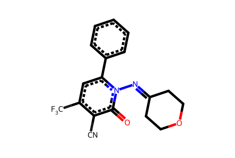 N#Cc1c(C(F)(F)F)cc(-c2ccccc2)n(N=C2CCOCC2)c1=O